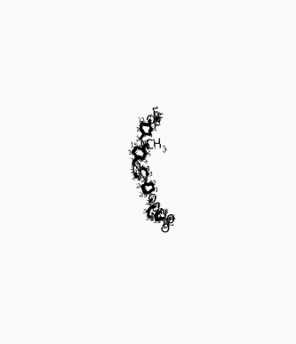 CN(Cc1ccc(OC(F)(F)F)cc1)c1ccc(CN2CCN(c3ccc(OC[C@H]4CCn5cc([N+](=O)[O-])nc5O4)cc3)CC2)cc1